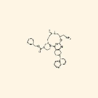 CN1CC(CN)Oc2nc3c(c(n2)N2CCN(C(=O)OCc4ccccc4)CC2CCC1=O)CCN(c1cccc2ccccc12)C3